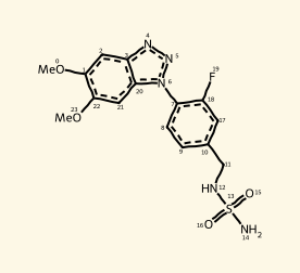 COc1cc2nnn(-c3ccc(CNS(N)(=O)=O)cc3F)c2cc1OC